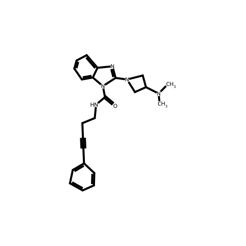 CN(C)C1CN(c2nc3ccccc3n2C(=O)NCCC#Cc2ccccc2)C1